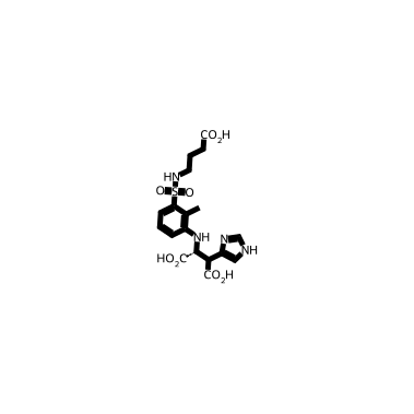 Cc1c(N[C@@H](C(=O)O)C(C(=O)O)c2c[nH]cn2)cccc1S(=O)(=O)NCCCC(=O)O